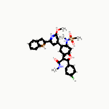 CNC(=O)c1c(-c2ccc(F)cc2)oc2cc(N(C)S(C)(=O)=O)c(-c3cc(OC)nc(-c4cc5ccccc5s4)c3)cc12